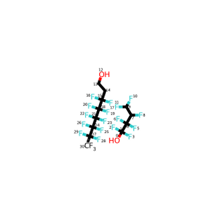 OC(F)(F)C(F)(F)C(F)C(F)F.OCCC(F)(F)C(F)(F)C(F)(F)C(F)(F)C(F)(F)C(F)(F)F